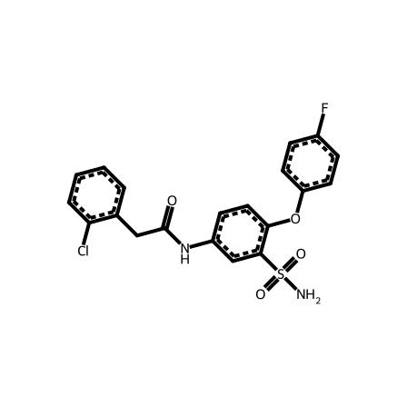 NS(=O)(=O)c1cc(NC(=O)Cc2ccccc2Cl)ccc1Oc1ccc(F)cc1